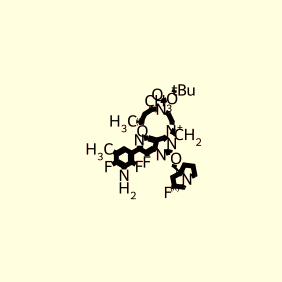 C=[N+]1CCN(C(=O)OC(C)(C)C)[C@@H](C)C[C@H](C)Oc2nc(-c3cc(C)c(F)c(N)c3F)c(F)c3nc(OC[C@@]45CCCN4C[C@H](F)C5)nc1c23